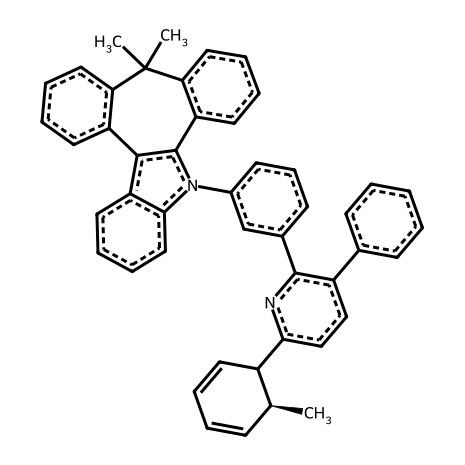 C[C@H]1C=CC=CC1c1ccc(-c2ccccc2)c(-c2cccc(-n3c4c(c5ccccc53)-c3ccccc3C(C)(C)c3ccccc3-4)c2)n1